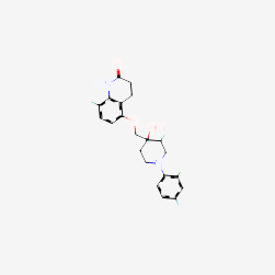 O=C1CCc2c(OCC3(O)CCN(c4ccc(F)cc4Cl)CC3F)ccc(F)c2N1